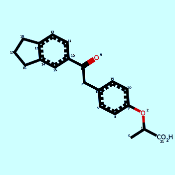 CC(Oc1ccc(CC(=O)c2ccc3c(c2)CCC3)cc1)C(=O)O